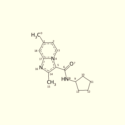 Cc1ccn2c(C(=O)NC3CCCC3)c(C)nc2c1